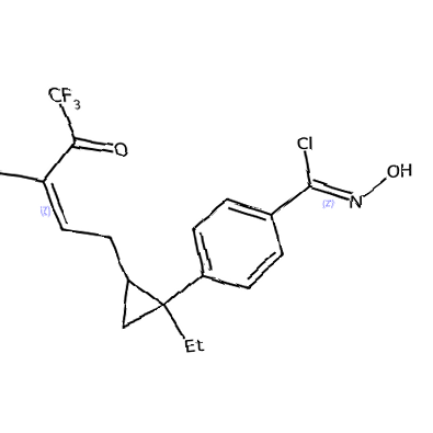 CCC1(c2ccc(/C(Cl)=N/O)cc2)CC1C/C=C(/C)C(=O)C(F)(F)F